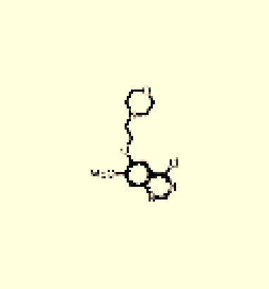 COc1cc2ncnc(Cl)c2cc1OCCN1CCOCC1